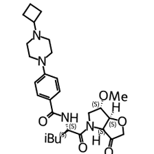 CC[C@H](C)[C@H](NC(=O)c1ccc(N2CCN(C3CCC3)CC2)cc1)C(=O)N1C[C@H](OC)[C@H]2OCC(=O)[C@H]21